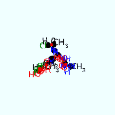 CN1CCC(Nc2ccc(S(=O)(=O)NC(=O)c3ccc(N4CCN(CC5=C(c6ccc(Cl)cc6)CC(C)(C)CC5)CC4)cc3Oc3cccc4c3ccn4C(=O)OC(C)(C)C)cc2[N+](=O)[O-])CC1.O=C(O)C(F)(F)F.O=C(O)C(F)(F)F